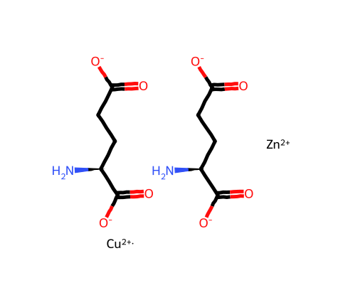 N[C@@H](CCC(=O)[O-])C(=O)[O-].N[C@@H](CCC(=O)[O-])C(=O)[O-].[Cu+2].[Zn+2]